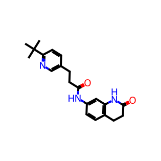 CC(C)(C)c1ccc(CCC(=O)Nc2ccc3c(c2)NC(=O)CC3)cn1